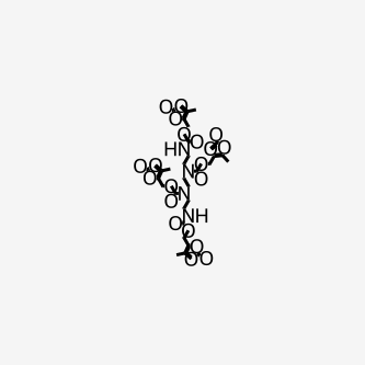 Cc1oc(=O)oc1COC(=O)NCCN(CCN(CCNC(=O)OCc1oc(=O)oc1C)C(=O)OCc1oc(=O)oc1C)C(=O)OCc1oc(=O)oc1C